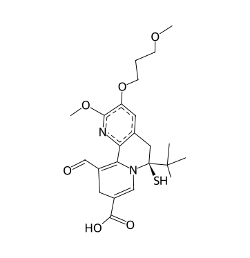 COCCCOc1cc2c(nc1OC)C1=C(C=O)CC(C(=O)O)=CN1[C@@](S)(C(C)(C)C)C2